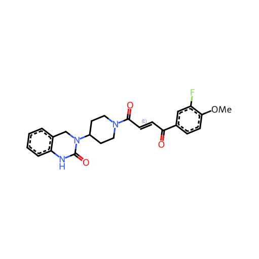 COc1ccc(C(=O)/C=C/C(=O)N2CCC(N3Cc4ccccc4NC3=O)CC2)cc1F